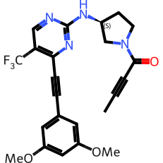 CC#CC(=O)N1CC[C@H](Nc2ncc(C(F)(F)F)c(C#Cc3cc(OC)cc(OC)c3)n2)C1